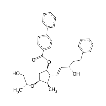 C[C@@H]1[C@@H](/C=C/[C@@H](O)CCc2ccccc2)[C@H](OC(=O)c2ccc(-c3ccccc3)cc2)C[C@@H]1O[C@H](C)CO